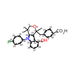 CC1(C)COC(C)(Cc2ccc(C(=O)O)cc2)c2c1n(-c1ccc(F)cc1)c1cccc(O)c21